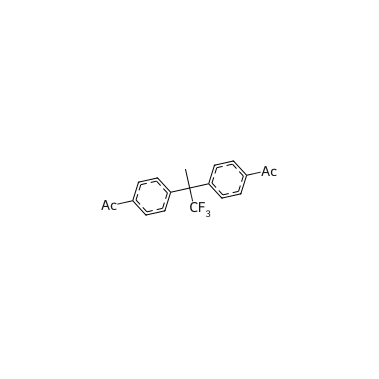 CC(=O)c1ccc(C(C)(c2ccc(C(C)=O)cc2)C(F)(F)F)cc1